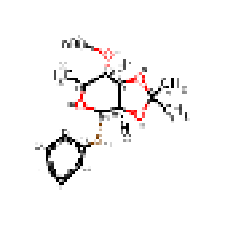 CCCCO[C@@H]1[C@H]2OC(C)(C)O[C@H]2[C@H](Sc2ccccc2)O[C@H]1C